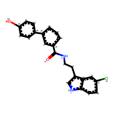 O=C(NCCc1c[nH]c2ccc(Cl)cc12)c1cccc(-c2ccc(O)cc2)c1